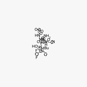 CC(C)(C)[C@H](c1cc(-c2cc(F)ccc2F)cn1Cc1ccccc1)N(CC[C@H](NC(=O)[C@H](CC(N)=O)NC(=O)Cc1ccncc1)C(=O)NCCNC(=O)CN1C(=O)C=CC1=O)C(=O)CO